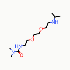 CC(C)NCCOCCOCCNC(=O)N(C)C